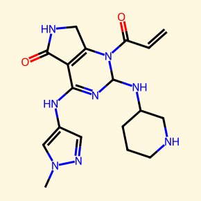 C=CC(=O)N1C2=C(C(=O)NC2)C(Nc2cnn(C)c2)=NC1NC1CCCNC1